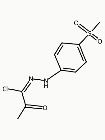 CC(=O)/C(Cl)=N\Nc1ccc(S(C)(=O)=O)cc1